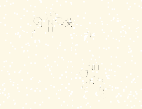 COc1cc2nn([C@H]3CC[C@H](CN4CCC(CO[C@H]5C[C@H](Nc6cccc7c6C(=O)N(C6CCC(=O)NC6=O)C7=O)C5)CC4)CC3)cc2cc1NC(=O)c1cccc(C(C)(C)F)n1